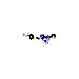 Cc1ccc(SCCn2ncc3c2nc(C)n2nc(-c4ccco4)nc32)cc1